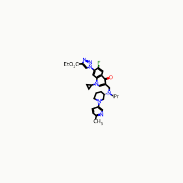 CCOC(=O)c1cn(-c2cc3c(cc2F)c(=O)c(CN(C(C)C)[C@H]2CCCN(c4ccc(C)nc4)C2)cn3C2CC2)nn1